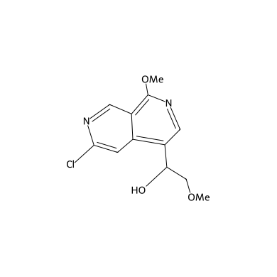 COCC(O)c1cnc(OC)c2cnc(Cl)cc12